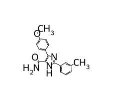 COc1ccc(-c2nc(-c3cccc(C)c3)[nH]c2C(N)=O)cc1